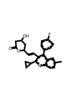 Cc1ccc2nc(C3CC3)c(/C=C/C3CC(O)CC(=O)O3)c(-c3ccc(F)cc3)c2c1